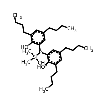 CCCCc1cc(CCCC)c(O)c(P(c2cc(CCCC)cc(CCCC)c2O)[Si](C)(C)C)c1